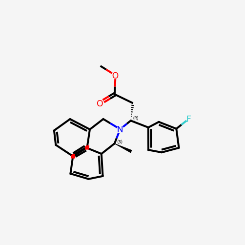 COC(=O)C[C@H](c1cccc(F)c1)N(Cc1ccccc1)[C@@H](C)c1ccccc1